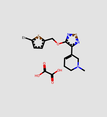 CCc1ccc(COc2nsnc2C2=CCCN(C)C2)s1.O=C(O)C(=O)O